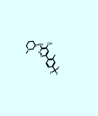 Cc1cc(C(F)(F)F)ccc1-c1cc(O)c(N[C@@H]2CCCN(C)C2)nn1